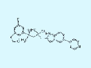 CC(C)(CC(O)(Cc1cc2cc(-c3ccncc3)ccc2[nH]1)C(F)(F)F)c1cc(F)cc2c1OCC2